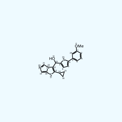 COc1cccc(-c2ccc(C(O)c3c(C4CC4)sc4cncn34)s2)c1